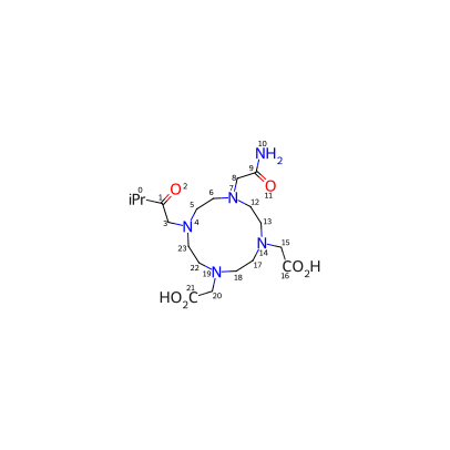 CC(C)C(=O)CN1CCN(CC(N)=O)CCN(CC(=O)O)CCN(CC(=O)O)CC1